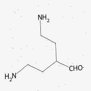 NCCC([C]=O)CCN